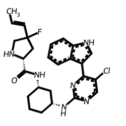 C/C=C/C1(F)CN[C@@H](C(=O)N[C@H]2CCC[C@@H](Nc3ncc(Cl)c(-c4c[nH]c5ccccc45)n3)C2)C1